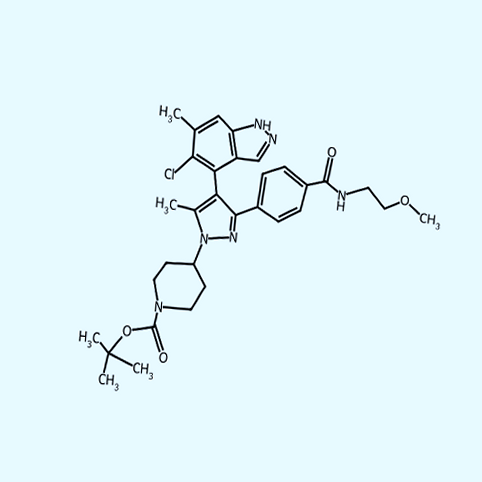 COCCNC(=O)c1ccc(-c2nn(C3CCN(C(=O)OC(C)(C)C)CC3)c(C)c2-c2c(Cl)c(C)cc3[nH]ncc23)cc1